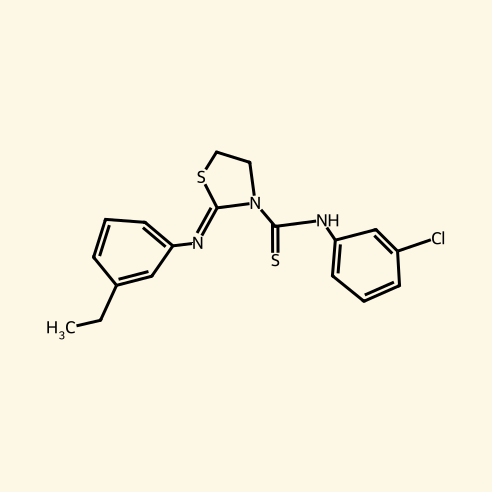 CCc1cccc(N=C2SCCN2C(=S)Nc2cccc(Cl)c2)c1